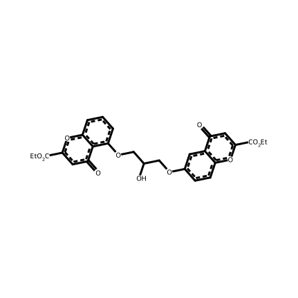 CCOC(=O)c1cc(=O)c2cc(OCC(O)COc3cccc4oc(C(=O)OCC)cc(=O)c34)ccc2o1